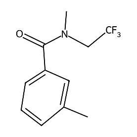 Cc1cccc(C(=O)N(C)CC(F)(F)F)c1